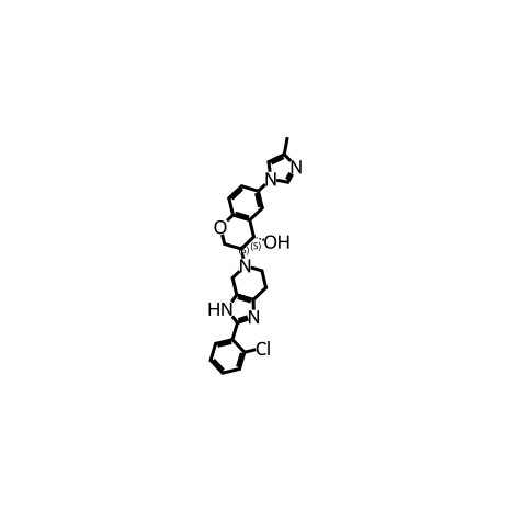 Cc1cn(-c2ccc3c(c2)[C@H](O)[C@@H](N2CCc4nc(-c5ccccc5Cl)[nH]c4C2)CO3)cn1